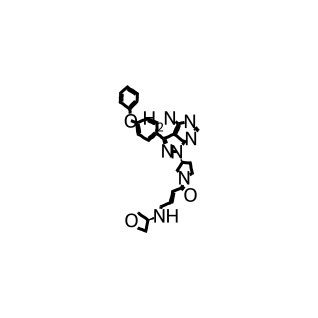 Nc1ncnc2c1c(-c1ccc(Oc3ccccc3)cc1)nn2[C@@H]1CCN(C(=O)/C=C/CN[C@H]2CCOC2)C1